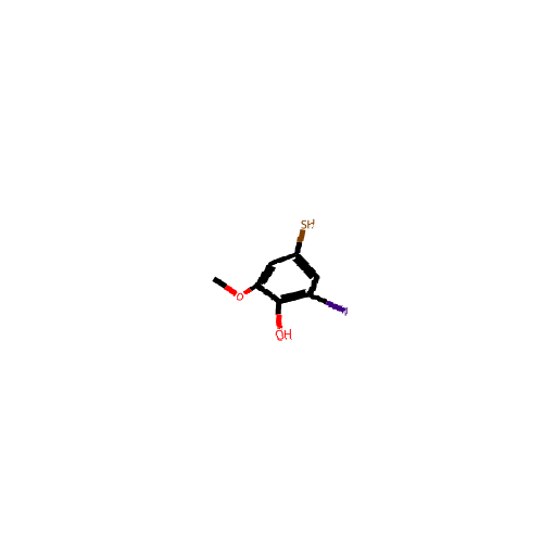 COc1cc(S)cc(I)c1O